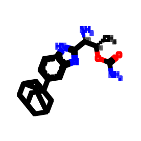 C[C@H](OC(N)=O)[C@@H](N)c1nc2cc(C34CC5CC(CC(C5)C3)C4)ccc2[nH]1